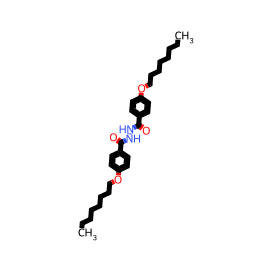 CCCCCCCCOc1ccc(C(=O)NNC(=O)c2ccc(OCCCCCCCC)cc2)cc1